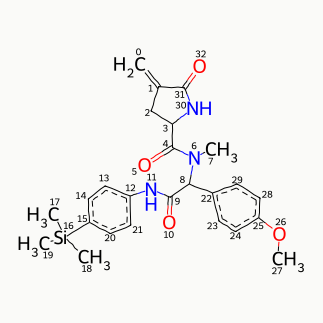 C=C1CC(C(=O)N(C)C(C(=O)Nc2ccc([Si](C)(C)C)cc2)c2ccc(OC)cc2)NC1=O